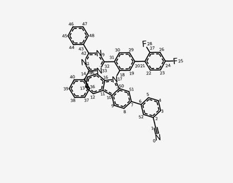 N#Cc1cccc(-c2ccc3c4ccccc4n(-c4cc(-c5ccc(F)cc5F)ccc4-c4nc(-c5ccccc5)nc(-c5ccccc5)n4)c3c2)c1